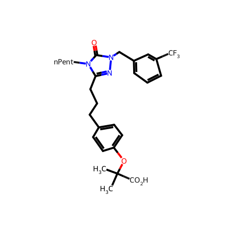 CCCCCn1c(CCCc2ccc(OC(C)(C)C(=O)O)cc2)nn(Cc2cccc(C(F)(F)F)c2)c1=O